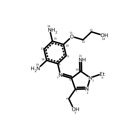 CCN1N=C(CO)C(=Nc2cc(OCCO)c(N)cc2N)C1=N